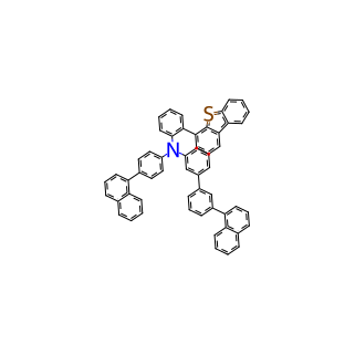 c1cc(-c2cccc(N(c3ccc(-c4cccc5ccccc45)cc3)c3ccccc3-c3cccc4c3sc3ccccc34)c2)cc(-c2cccc3ccccc23)c1